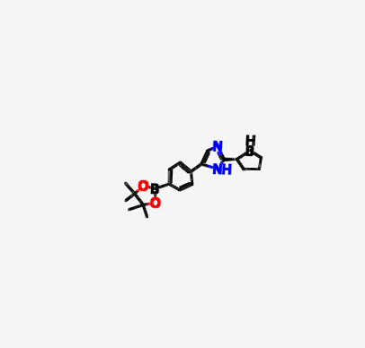 CC1(C)OB(c2ccc(-c3cnc([C@H]4BCCC4)[nH]3)cc2)OC1(C)C